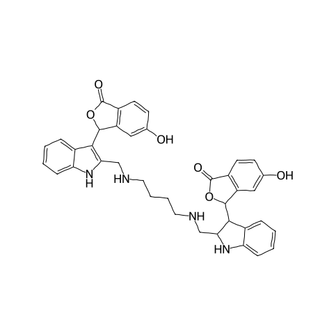 O=C1OC(c2c(CNCCCCNCC3Nc4ccccc4C3C3OC(=O)c4ccc(O)cc43)[nH]c3ccccc23)c2cc(O)ccc21